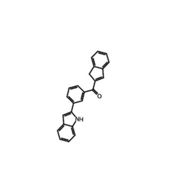 O=C(C1=Cc2ccccc2C1)c1cccc(-c2cc3ccccc3[nH]2)c1